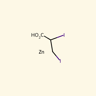 O=C(O)C(I)CI.[Zn]